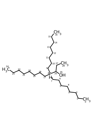 CCCCCCCC[PH](CCCCCCCC)(CCCCCCCC)C(O)CC